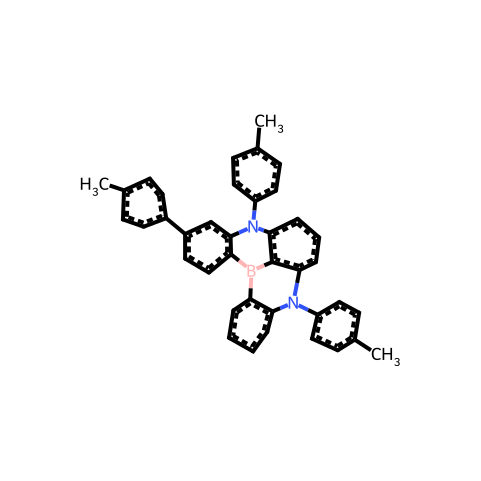 Cc1ccc(-c2ccc3c(c2)N(c2ccc(C)cc2)c2cccc4c2B3c2ccccc2N4c2ccc(C)cc2)cc1